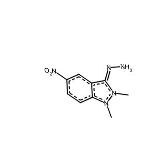 Cn1c(=NN)c2cc([N+](=O)[O-])ccc2n1C